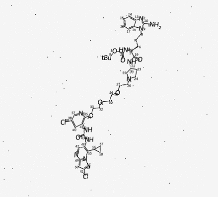 CC(C)(C)OC(=O)N[C@@H](CCCn1c(N)nc2ccccc21)C(=O)N[C@@H]1CCN(CCOCCOCCOc2ncc(Cl)cc2NC(=O)Nc2cnc3cc(Cl)nn3c2C2CC2)C1